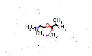 C=C(C)C(=O)OCCN(C)C.CI